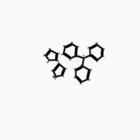 c1cc[nH]c1.c1ccc(N(c2ccccc2)c2ccccc2)cc1.c1ccsc1